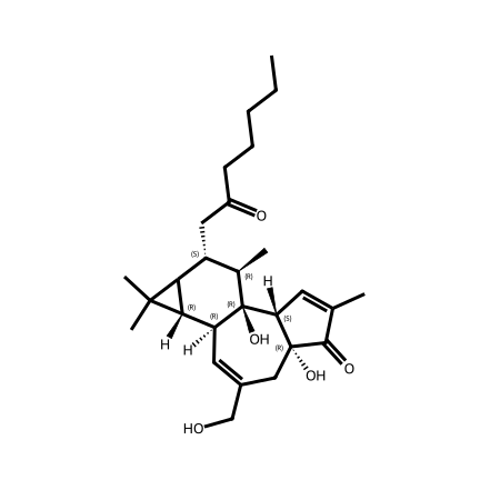 CCCCCC(=O)C[C@H]1C2[C@H]([C@@H]3C=C(CO)C[C@]4(O)C(=O)C(C)=C[C@H]4[C@@]3(O)[C@@H]1C)C2(C)C